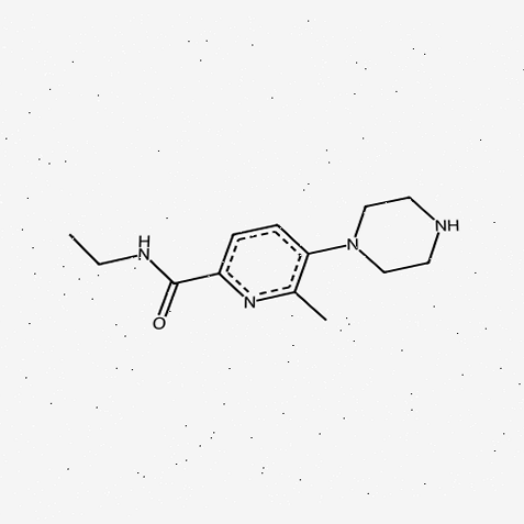 CCNC(=O)c1ccc(N2CCNCC2)c(C)n1